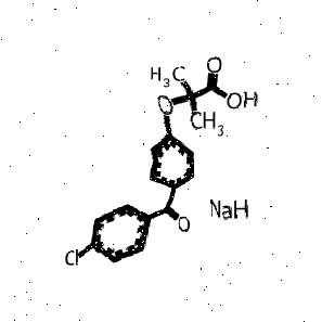 CC(C)(Oc1ccc(C(=O)c2ccc(Cl)cc2)cc1)C(=O)O.[NaH]